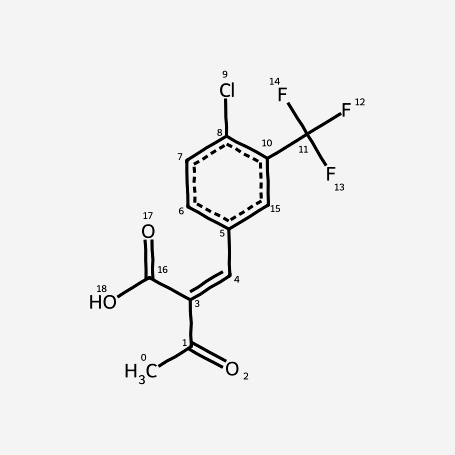 CC(=O)C(=Cc1ccc(Cl)c(C(F)(F)F)c1)C(=O)O